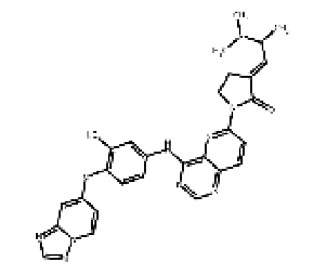 Cc1cc(Nc2ncnc3ccc(N4CC/C(=C\[C@H](C)N(C)C)C4=O)nc23)ccc1Oc1ccn2ncnc2c1